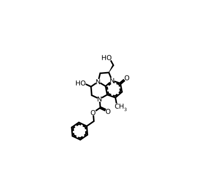 Cc1cc(=O)n2c3c1N(C(=O)OCc1ccccc1)CC(O)N3C[C@H]2CO